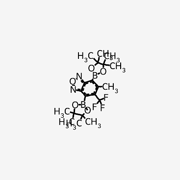 Cc1c(C(F)(F)F)c(B2OC(C)(C)C(C)(C)O2)c2nonc2c1B1OC(C)(C)C(C)(C)O1